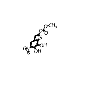 COC(=O)Oc1cc2cc([N+](=O)[O-])c(O)c(O)c2s1